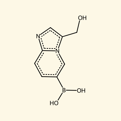 OCc1cnc2ccc(B(O)O)cn12